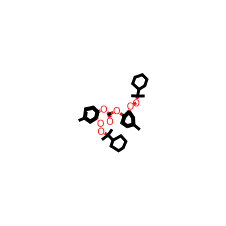 Cc1ccc(OC(=O)Oc2ccc(C)cc2OOC(C)(C)C2CCCCC2)c(OOC(C)(C)C2CCCCC2)c1